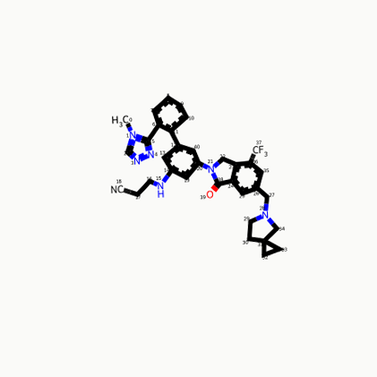 Cn1cnnc1-c1ccccc1-c1cc(NCCC#N)cc(N2Cc3c(cc(CN4CCC5(CC5)C4)cc3C(F)(F)F)C2=O)c1